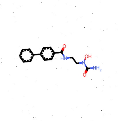 NC(=O)N(O)CCNC(=O)c1ccc(-c2ccccc2)cc1